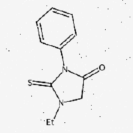 CCN1CC(=O)N(c2ccccc2)C1=S